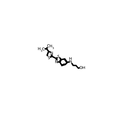 CC(C)C1CSC(c2nc3ccc(NCCCO)cc3s2)=N1